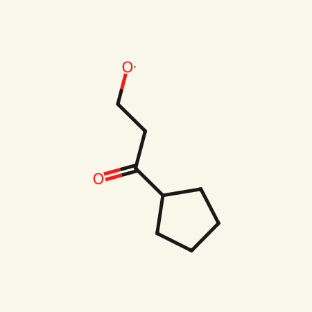 [O]CCC(=O)C1CCCC1